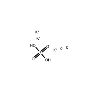 O=S(=O)(O)O.[K+].[K+].[K+].[K+].[K+]